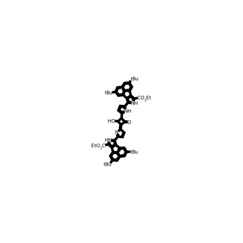 CCOC(=O)c1[nH]c(C2=N/C(=C3/C(=O)C(c4ccc(-c5[nH]c(C(=O)OCC)c6c5-c5cc(C(C)(C)C)cc7cc(C(C)(C)C)cc-6c57)[nH]4)C3O)C=C2)c2c1-c1cc(C(C)(C)C)cc3cc(C(C)(C)C)cc-2c13